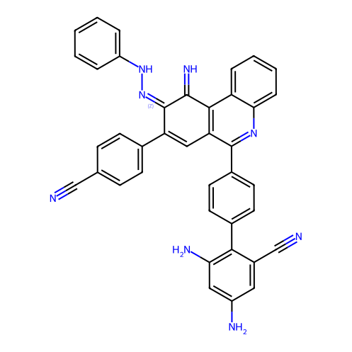 N#Cc1ccc(C2=Cc3c(-c4ccc(-c5c(N)cc(N)cc5C#N)cc4)nc4ccccc4c3C(=N)/C2=N\Nc2ccccc2)cc1